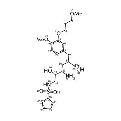 COCCCOc1cc(CC(CC(N)C(O)CNS(=O)(=O)c2cccs2)C(C)C)ccc1OC.Cl